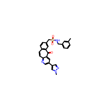 Cc1cccc(CNS(=O)(=O)Cc2ccc3ccc4ncc(-c5cnn(C)c5)cc4c(=O)c3c2)c1